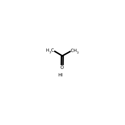 CC(C)=O.I